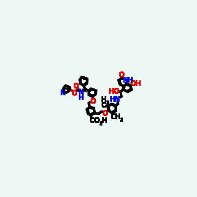 Cc1cc(CNCC(O)c2ccc(O)c3[nH]c(=O)ccc23)cc(C)c1OCCc1cc(COc2cccc([C@@H](NC(=O)OC3CN4CCC3CC4)c3ccccc3)c2)ccc1C(=O)O